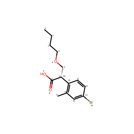 CCCCOC[C@@H](C(=O)O)c1ccc(Br)cc1C